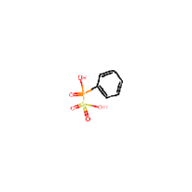 O=P(O)(c1ccccc1)S(=O)(=O)O